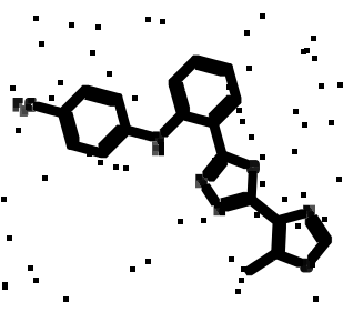 Cc1ocnc1-c1nnc(-c2ccccc2Nc2ccc(C(F)(F)F)cc2)o1